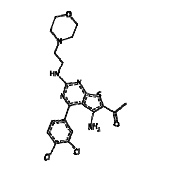 CC(=O)c1sc2nc(NCCN3CCOCC3)nc(-c3ccc(Cl)c(Cl)c3)c2c1N